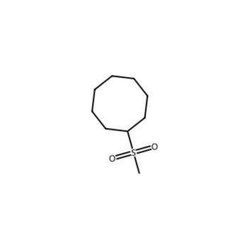 CS(=O)(=O)C1CCCCCCC1